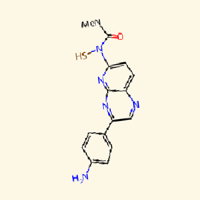 CNC(=O)N(S)c1ccc2ncc(-c3ccc(N)cc3)nc2n1